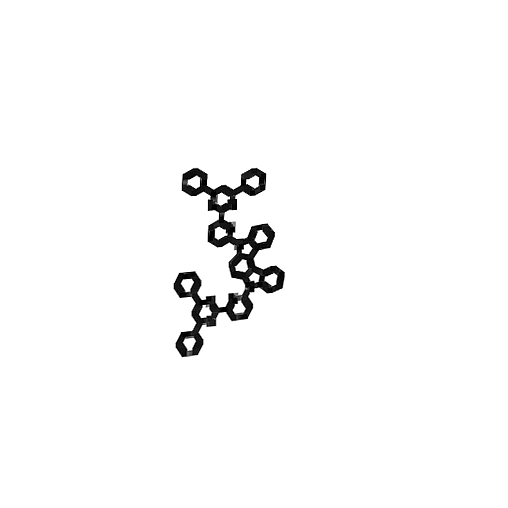 c1ccc(-c2cc(-c3ccccc3)nc(-c3cccc(-n4c5ccccc5c5c6c7ccccc7n(-c7cccc(-c8nc(-c9ccccc9)cc(-c9ccccc9)n8)n7)c6ccc54)n3)n2)cc1